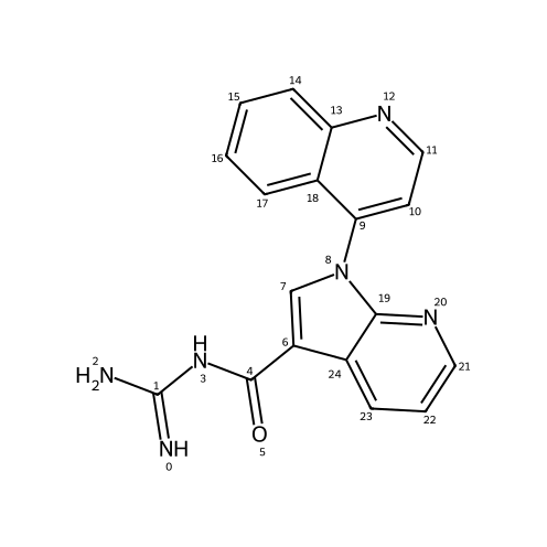 N=C(N)NC(=O)c1cn(-c2ccnc3ccccc23)c2ncccc12